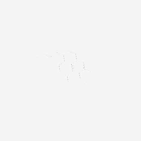 CO/C=C/C=C(/C=C\c1cc(OC)c(OC)c(OC)c1)\C=C\OC